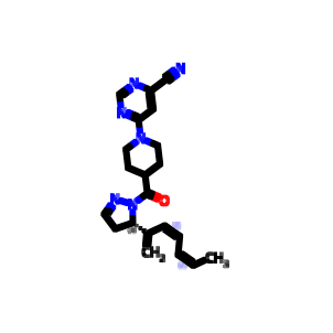 C=C(/C=C\C=C/C)[C@@H]1CC=NN1C(=O)C1CCN(c2cc(C#N)ncn2)CC1